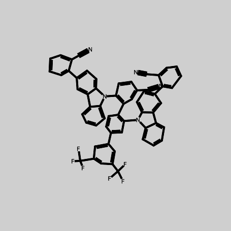 N#Cc1ccc(-n2c3ccccc3c3cc(-c4ccccc4C#N)ccc32)c(-c2ccc(-c3cc(C(F)(F)F)cc(C(F)(F)F)c3)cc2-n2c3ccccc3c3cc(-c4ccccc4C#N)ccc32)c1